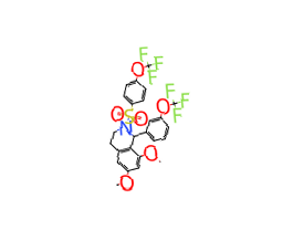 COc1cc2c(c(OC)c1)C(c1cccc(OC(F)(F)F)c1)N(S(=O)(=O)c1ccc(OC(F)(F)F)cc1)CC2